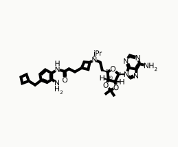 CC(C)N(CC[C@H]1O[C@@H](n2cnc3c(N)ncnc32)[C@@H]2OC(C)(C)O[C@@H]21)C1CC(CCC(=O)Nc2ccc(CC3CCC3)cc2N)C1